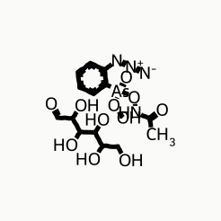 CC(=O)NO[As](=O)(OO)c1ccccc1N=[N+]=[N-].O=CC(O)C(O)C(O)C(O)CO